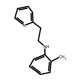 Cc1ccccc1NCCc1ccccn1